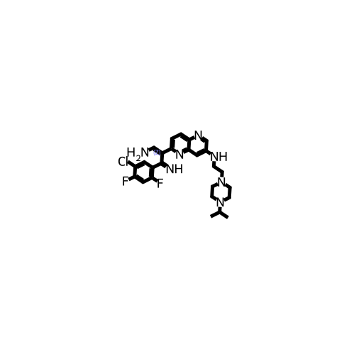 CC(C)N1CCN(CCNc2cnc3ccc(/C(=C/N)C(=N)c4cc(Cl)c(F)cc4F)nc3c2)CC1